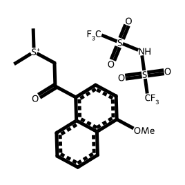 COc1ccc(C(=O)C[S+](C)C)c2ccccc12.O=S(=O)(NS(=O)(=O)C(F)(F)F)C(F)(F)F